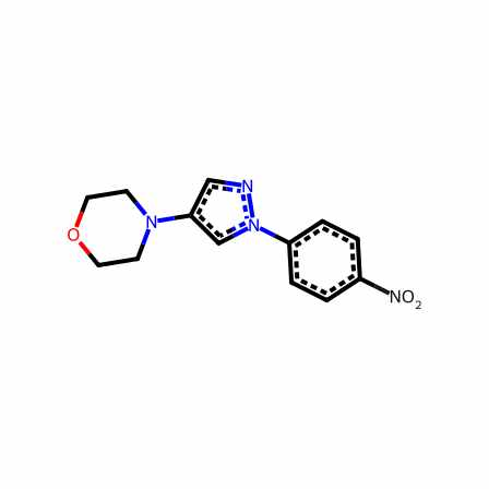 O=[N+]([O-])c1ccc(-n2cc(N3CCOCC3)cn2)cc1